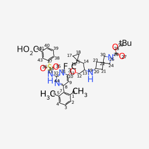 Cc1cccc(C)c1-c1cc(OCC(CC2(C(F)(F)F)CC2)NC2CC3(C2)CN(C(=O)OC(C)(C)C)C3)nc(NS(=O)(=O)c2cccc(C(=O)O)c2)n1